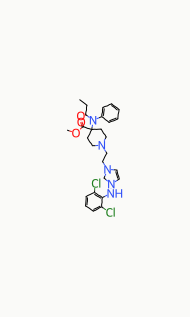 CCC(=O)N(c1ccccc1)C1(C(=O)OC)CCN(CCN2C=CN(Nc3c(Cl)cccc3Cl)C2)CC1